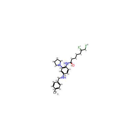 O=C(CCCCC(F)CF)Nc1ccc(NCc2ccc(C(F)(F)F)cc2)cc1N1CCCC1